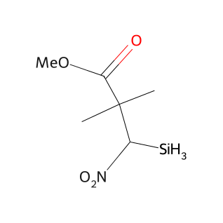 COC(=O)C(C)(C)C([SiH3])[N+](=O)[O-]